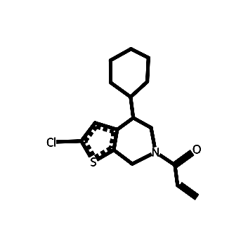 C=CC(=O)N1Cc2sc(Cl)cc2C(C2CCCCC2)C1